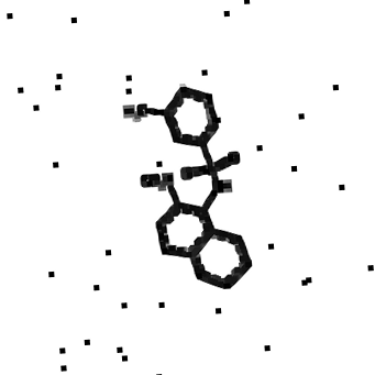 Cc1[c]ccc(S(=O)(=O)Nc2c(C(=O)O)ccc3ccccc23)c1